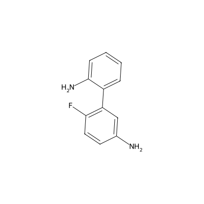 Nc1ccc(F)c(-c2ccccc2N)c1